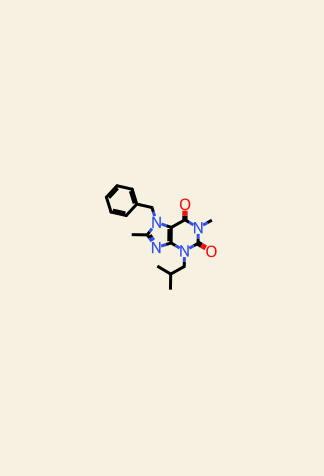 Cc1nc2c(c(=O)n(C)c(=O)n2CC(C)C)n1Cc1ccccc1